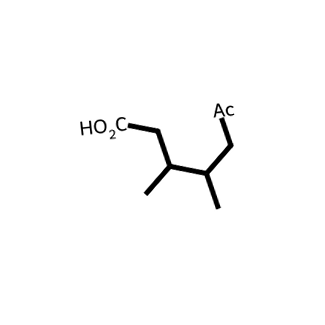 CC(=O)CC(C)C(C)CC(=O)O